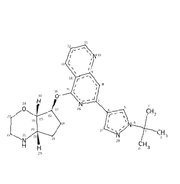 CC(C)(C)n1cc(-c2cc3ncccc3c(O[C@H]3CC[C@@H]4NCCO[C@@H]43)n2)cn1